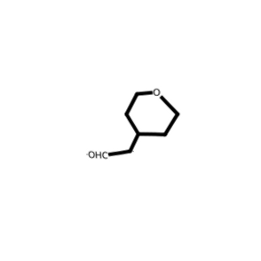 O=[C][CH]C1CCOCC1